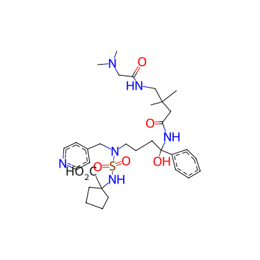 CN(C)CC(=O)NCC(C)(C)CC(=O)NC(O)(CCCN(Cc1ccncc1)S(=O)(=O)NC1(C(=O)O)CCCC1)c1ccccc1